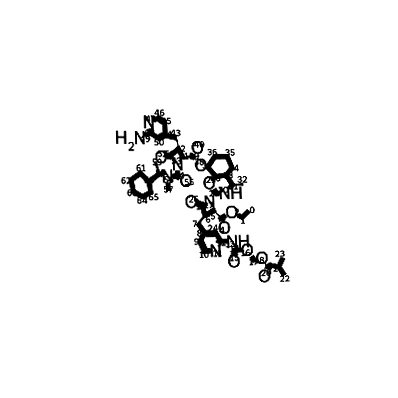 CCOC(=O)[C@@H]1[C@@H](Cc2ccnc(NC(=O)OCOC(=O)C(C)C)c2)C(=O)N1C(=O)N[C@H](C)C1CCCC(OC(=O)[C@@H]2[C@@H](Cc3ccnc(N)c3)C(=O)N2C(=O)N(C)[C@H](C)C2CCCCC2)C1